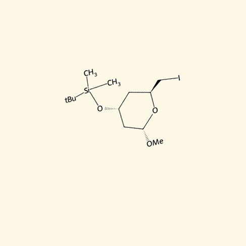 CO[C@@H]1C[C@H](O[Si](C)(C)C(C)(C)C)C[C@@H](CI)O1